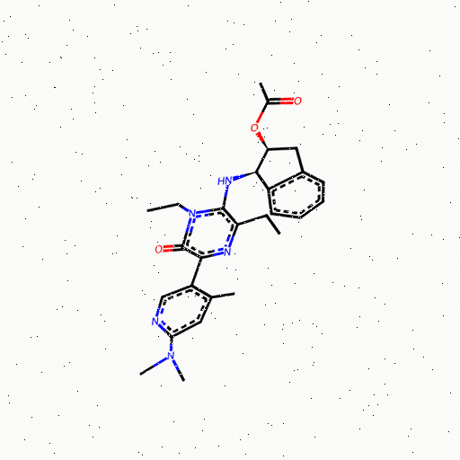 CCc1nc(-c2cnc(N(C)C)cc2C)c(=O)n(CC)c1N[C@@H]1c2ccccc2C[C@@H]1OC(C)=O